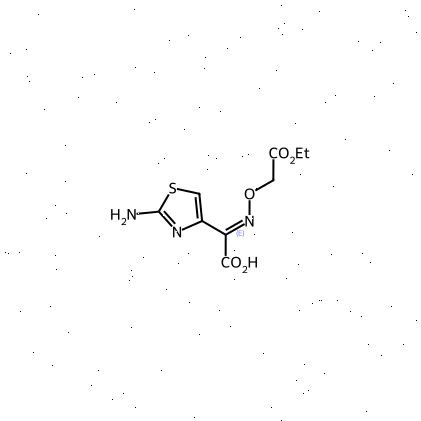 CCOC(=O)CO/N=C(/C(=O)O)c1csc(N)n1